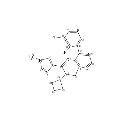 Cn1cnc(C(=O)N(Cc2ccnc(-c3cccc(F)c3F)c2)C2CCC2)c1